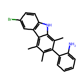 Cc1c(-c2ccccc2N)c(C)c2[nH]c3ccc(Br)cc3c2c1C